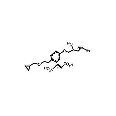 CC(C)NCC(O)COc1ccc(CCOCC2CC2)cc1.O=C(O)/C=C/C(=O)O